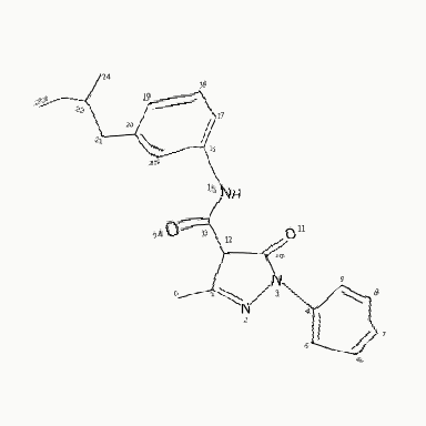 CC1=NN(c2ccccc2)C(=O)C1C(=O)Nc1cccc(CC(C)C)c1